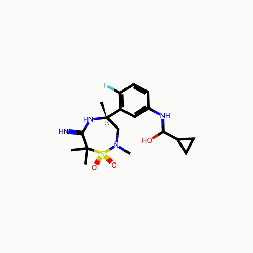 CN1C[C@@](C)(c2cc(NC(O)C3CC3)ccc2F)NC(=N)C(C)(C)S1(=O)=O